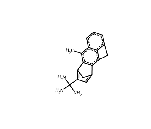 Cc1c2c(c3c4c(cccc14)C3)C1=CC(C(N)(N)N)=C2C1